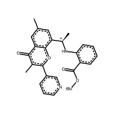 Cc1cc([C@@H](C)Nc2ccccc2C(=O)OC(C)(C)C)c2oc(-c3cccnc3)c(C)c(=O)c2c1